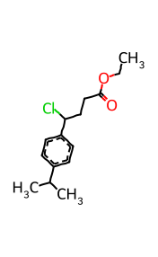 CCOC(=O)CCC(Cl)c1ccc(C(C)C)cc1